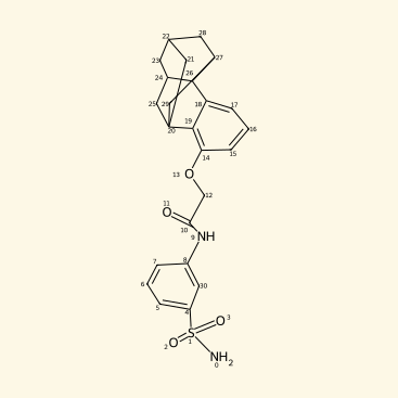 NS(=O)(=O)c1cccc(NC(=O)COc2cccc3c2C24CC5CC(C2)C3C(C5)C4)c1